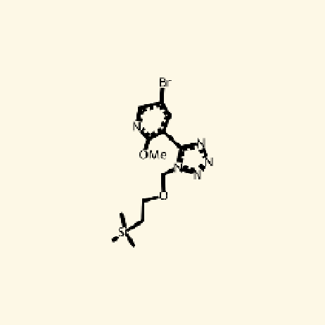 COc1ncc(Br)cc1-c1nnnn1COCC[Si](C)(C)C